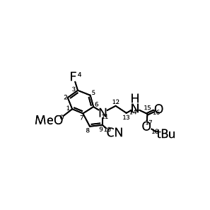 COc1cc(F)cc2c1cc(C#N)n2CCNC(=O)OC(C)(C)C